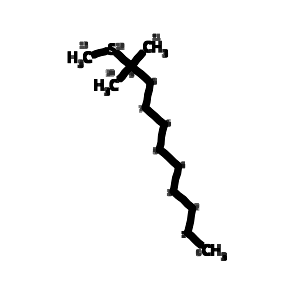 CCCCCCCCCC(C)(C)SC